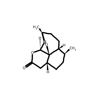 C[C@H]1CC[C@@H]2CC(=O)O[C@H]3O[C@@]4(C)CC[C@H]1[C@]23OO4